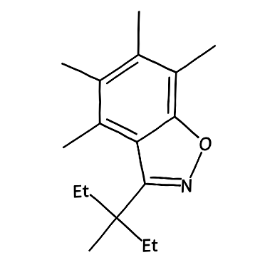 CCC(C)(CC)c1noc2c(C)c(C)c(C)c(C)c12